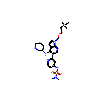 CN(C)S(=O)(=O)Nc1ccnc(-c2cnc3c(ccn3COCC[Si](C)(C)C)c2N[C@@H]2CCCNC2)c1